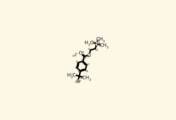 CC(C)(Br)c1ccc(C(=O)OCC[N+](C)(C)C)cc1.[I-]